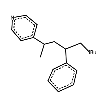 CCC(C)CC(CC(C)c1ccncc1)c1ccccc1